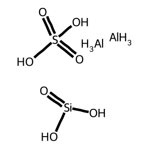 O=S(=O)(O)O.O=[Si](O)O.[AlH3].[AlH3]